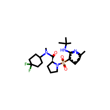 Cc1ccc(S(=O)(=O)N2CCC[C@H]2C(=O)N(C)C2CCC(F)(F)CC2)c(NC(C)(C)C)n1